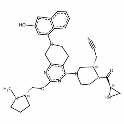 CN1CCC[C@H]1COc1nc2c(c(N3CCN(C(=O)[C@H]4CN4)[C@@H](CC#N)C3)n1)CCN(c1cc(O)cc3ccccc13)C2